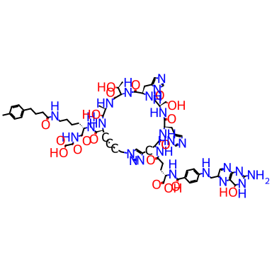 Cc1ccc(CCCC(=O)NCCCC[C@H](NC(=O)[C@@H]2CCCCn3cc(nn3)C[C@H](NC(=O)CC[C@H](NC(=O)c3ccc(NCc4cnc5c(n4)C(O)NC(N)=N5)cc3)C(=O)O)C(=O)N[C@H](Cc3cnc[nH]3)C(=O)N[C@H](CO)C(=O)N[C@H](Cc3cnc[nH]3)C(=O)N[C@H]([C@H](C)O)C(=O)N[C@H](C)C(O)N2)C(=O)NC(=O)C(=O)O)cc1